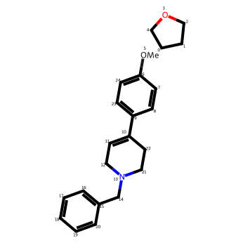 C1CCOC1.COc1ccc(C2=CCN(Cc3ccccc3)CC2)cc1